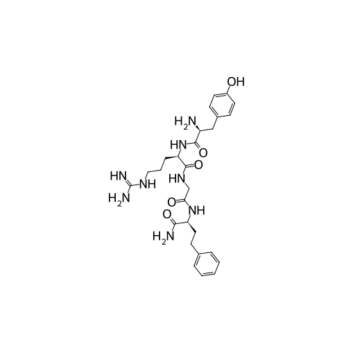 N=C(N)NCCC[C@@H](NC(=O)[C@@H](N)Cc1ccc(O)cc1)C(=O)NCC(=O)N[C@@H](CCc1ccccc1)C(N)=O